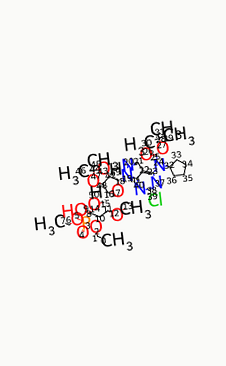 CCOP(=O)(OCC)C(O)(CCOC)OC[C@H]1O[C@@H](n2ncc3c(N(C(=O)OC(C)(C)C)C4CCCC4)nc(Cl)nc32)[C@@H]2OC(C)(C)O[C@@H]21